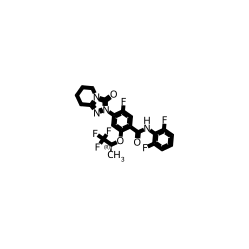 C[C@@H](Oc1cc(-n2nc3n(c2=O)CCCC3)c(F)cc1C(=O)Nc1c(F)cccc1F)C(F)(F)F